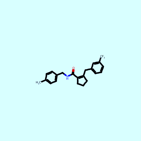 Cc1ccc(CNC(=O)C2=C(Cc3cccc(C(F)(F)F)c3)CCC2)cc1